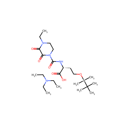 CCN(CC)CC.CCN1CCN(C(=O)N[C@H](CCO[Si](C)(C)C(C)(C)C)C(=O)O)C(=O)C1=O